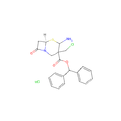 Cl.NC1S[C@@H]2CC(=O)N2CC1(CCl)C(=O)OC(c1ccccc1)c1ccccc1